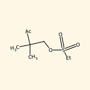 CCS(=O)(=O)OCC(C)(C)C(C)=O